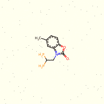 Cc1ccc2oc(=O)n(CC(P)P)c2c1